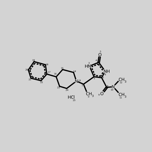 CC(c1[nH]c(=O)[nH]c1C(=O)N(C)C)N1CCC(c2ccccc2)CC1.Cl